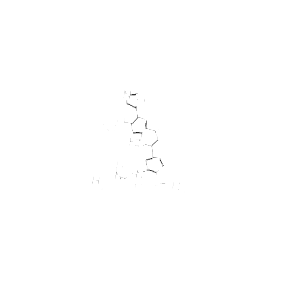 CNCCNc1cc(-c2cc(=O)c3cc(-c4cnco4)c(OC)cc3[nH]2)ccc1OC